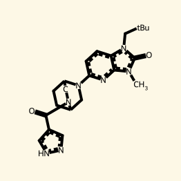 Cn1c(=O)n(CC(C)(C)C)c2ccc(N3CC4CCC3CN4C(=O)c3cn[nH]c3)nc21